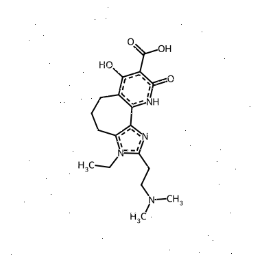 CCn1c(CCN(C)C)nc2c1CCCc1c-2[nH]c(=O)c(C(=O)O)c1O